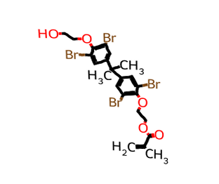 C=C(C)C(=O)OCCOc1c(Br)cc(C(C)(C)c2cc(Br)c(OCCO)c(Br)c2)cc1Br